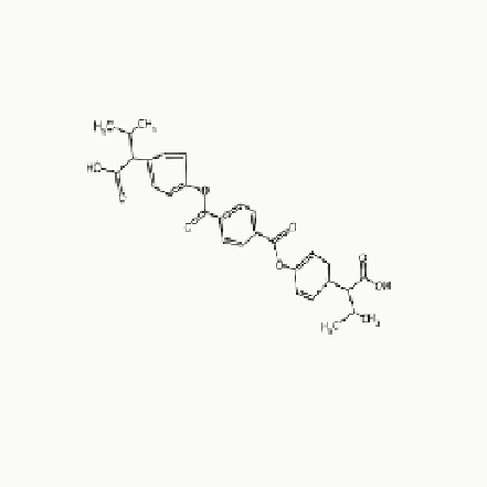 CC(C)C(C(=O)O)c1ccc(OC(=O)c2ccc(C(=O)Oc3ccc(C(C(=O)O)C(C)C)cc3)cc2)cc1